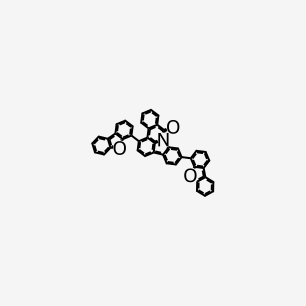 O=c1c2ccccc2c2c(-c3cccc4c3oc3ccccc34)ccc3c4ccc(-c5cccc6c5oc5ccccc56)cc4n1c32